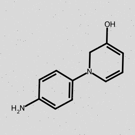 Nc1ccc(N2C=CC=C(O)C2)cc1